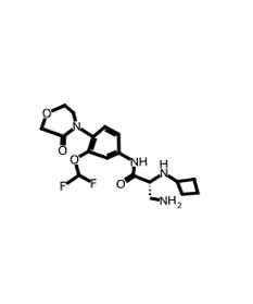 NC[C@@H](NC1CCC1)C(=O)Nc1ccc(N2CCOCC2=O)c(OC(F)F)c1